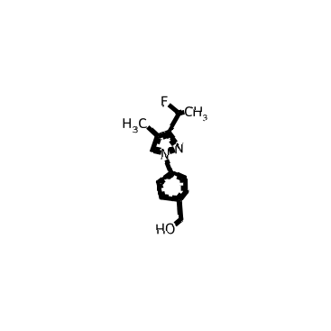 Cc1cn(-c2ccc(CO)cc2)nc1C(C)F